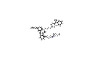 COc1ccc(OCCCCN2CCC(C(O)c3ccccc3)CC2)c(C2Sc3ccccc3N2C(C)=O)c1.O=C(O)/C=C\C(=O)O